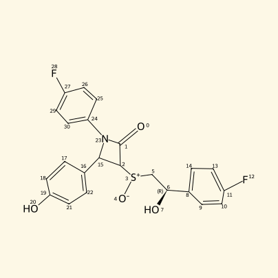 O=C1C([S+]([O-])C[C@H](O)c2ccc(F)cc2)C(c2ccc(O)cc2)N1c1ccc(F)cc1